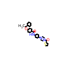 CC(Oc1ccc(C(=O)Nc2ccc(N3CCN(C(=O)c4cccs4)CC3)cc2)cc1)c1ccccc1